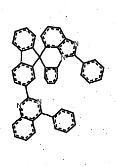 c1ccc(-c2nc(-c3ccc4c(c3)C3(c5ccccc5-4)c4ccccc4-n4c(-c5ccccc5)nc5cccc3c54)nc3ccccc23)cc1